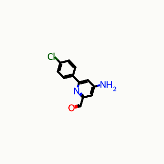 Nc1cc(C=O)nc(-c2ccc(Cl)cc2)c1